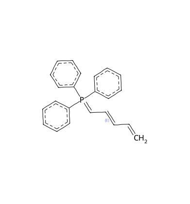 C=C/C=C/C=P(c1ccccc1)(c1ccccc1)c1ccccc1